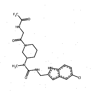 CN(C(=O)NCc1cc2cc(Cl)ccc2[nH]1)C1CCCN(C(=O)CNC(=O)C(F)(F)F)C1